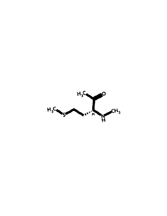 CN[C@H](CCSC)C(C)=O